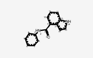 O=C(Nc1ccccc1)c1cccc2[nH]ccc12